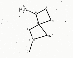 CN1CC2(CCC2N)C1